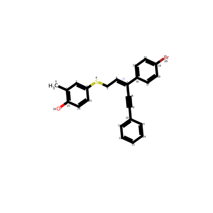 Cc1cc(SC/C=C(\C#Cc2ccccc2)c2ccc(Br)cc2)ccc1[O]